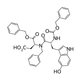 O=C(O)C[C@@H](C(=O)OCc1ccccc1)N(Cc1ccccc1)C(=O)[C@H](Cc1c[nH]c2ccc(O)cc12)NC(=O)OCc1ccccc1